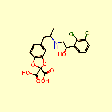 CC(Cc1ccc2c(c1)OC(C(=O)O)(C(=O)O)O2)NCC(O)c1cccc(Cl)c1Cl